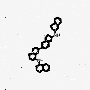 c1ccc2cc(Nc3ccc4cc(-c5ccc6cccc(Nc7cccc8ccccc78)c6c5)ccc4c3)ccc2c1